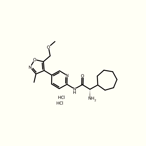 COCc1onc(C)c1-c1ccc(NC(=O)[C@@H](N)C2CCCCCC2)nc1.Cl.Cl